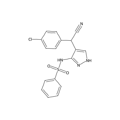 N#CC(c1ccc(Cl)cc1)c1c[nH]nc1NS(=O)(=O)c1ccccc1